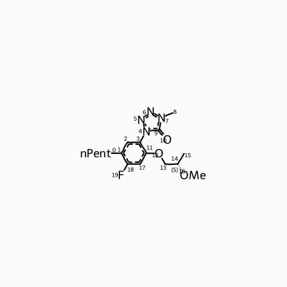 CCCCCc1cc(-n2nnn(C)c2=O)c(OC[C@H](C)OC)cc1F